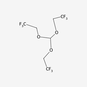 FC(F)(F)COC(OCC(F)(F)F)OCC(F)(F)F